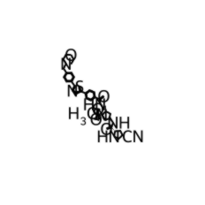 CS(=O)(=O)N1C[C@H](NC(=O)[C@@H]2C[C@H](C#N)CN2)C[C@@H]1CNC(=O)c1ccc(-c2cnc(-c3ccc(CN4CCOCC4)cc3)s2)cc1